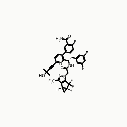 CC(C)(O)C#Cc1ccc(-c2ccc(F)c(C(N)=O)c2)c([C@H](Cc2cc(F)cc(F)c2)NC(=O)Cn2nc(C(F)(F)F)c3c2C(F)(F)[C@@H]2C[C@H]32)n1